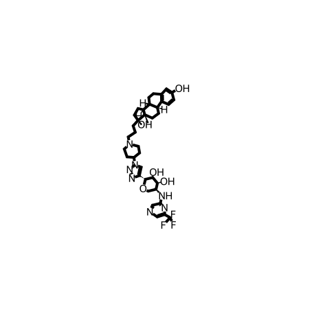 C[C@]12CC[C@@H]3c4ccc(O)cc4CC[C@H]3[C@@H]1CC[C@@]2(O)CCCN1CCC(n2cc([C@H]3OC[C@H](Nc4cncc(C(F)(F)F)n4)[C@@H](O)[C@H]3O)nn2)CC1